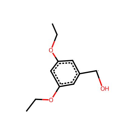 CCOc1cc([CH]O)cc(OCC)c1